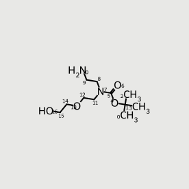 CC(C)(C)OC(=O)N(CCN)CCOCCO